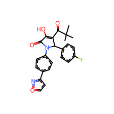 CC(C)(C)C(=O)C1=C(O)C(=O)N(c2ccc(-c3ccon3)cc2)C1c1ccc(F)cc1